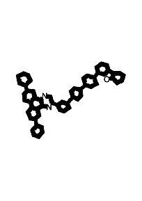 c1ccc(-c2ccc3c4ccc(-c5ccccc5)cc4c4nc(-c5cccc(-c6ccc(-c7ccc(-c8cccc9c8oc8ccccc89)cc7)cc6)c5)cnc4c3c2)cc1